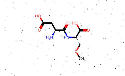 COC[C@H](NC(=O)[C@@H](N)CC(=O)O)C(=O)O